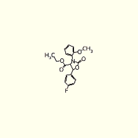 CCOC(=O)C1C(c2ccc(F)cc2)OC(=O)N1c1ccccc1OC